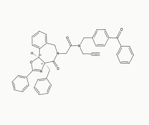 C#CCN(Cc1ccc(C(=O)c2ccccc2)cc1)C(=O)CN1Cc2ccccc2[C@@H]2OC(c3ccccc3)=N[C@]2(Cc2ccccc2)C1=O